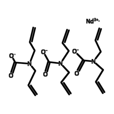 C=CCN(CC=C)C(=O)[O-].C=CCN(CC=C)C(=O)[O-].C=CCN(CC=C)C(=O)[O-].[Nd+3]